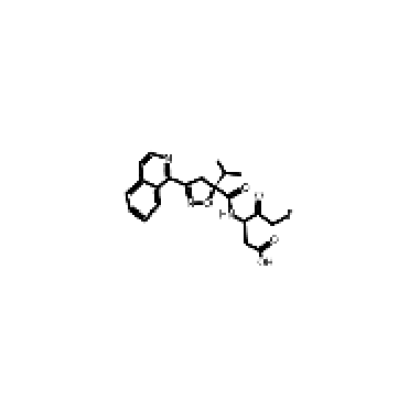 CC(C)[C@]1(C(=O)NC(CC(=O)O)C(=O)CF)CC(c2nccc3ccccc23)=NO1